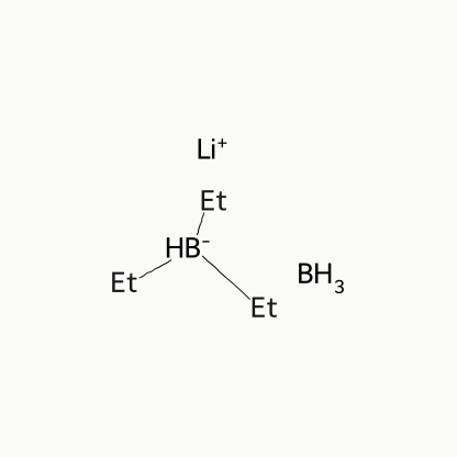 B.CC[BH-](CC)CC.[Li+]